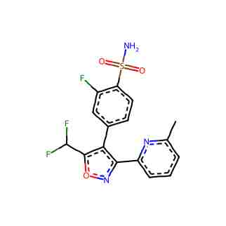 Cc1cccc(-c2noc(C(F)F)c2-c2ccc(S(N)(=O)=O)c(F)c2)n1